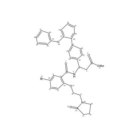 COC(=O)CC(NC(=O)c1cc(Br)ccc1OCCN1CCCC1=O)c1ccc(-c2ccccc2Oc2ccccc2)cc1